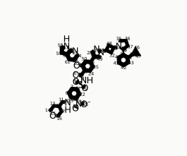 O=C(NS(=O)(=O)c1ccc(NCC2CCOCC2)c([N+](=O)[O-])c1)c1ccc(-c2cnn(C3CC(N4CCC[C@H]4c4ccccc4C4CC4)C3)c2)cc1Oc1cnc2[nH]ccc2c1